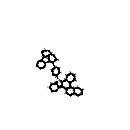 c1ccc2c(c1)-c1cccc3ccc(-c4ccc(-n5c6ccccc6c6c7ccc8ccccc8c7c7ccccc7c65)cc4)c-2c13